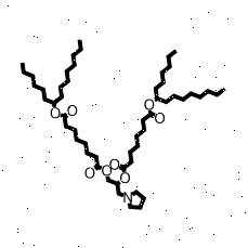 CCCCCCCCC(CCCCCC)OC(=O)CCCCCCC(=O)OCC(CN1CCCC1)OC(=O)CCCCCCC(=O)OC(CCCCCC)CCCCCCCC